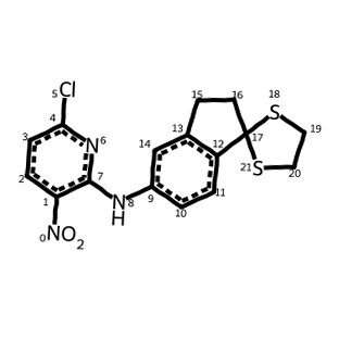 O=[N+]([O-])c1ccc(Cl)nc1Nc1ccc2c(c1)CCC21SCCS1